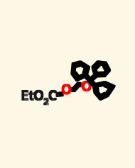 CCOC(=O)COCCOC(c1ccccc1)(c1ccccc1)c1ccccc1